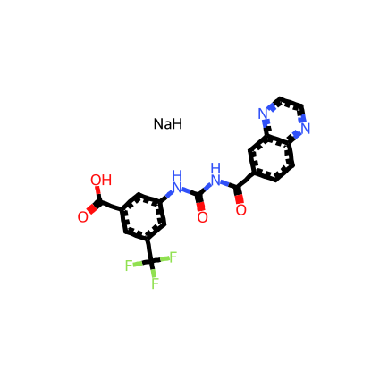 O=C(NC(=O)c1ccc2nccnc2c1)Nc1cc(C(=O)O)cc(C(F)(F)F)c1.[NaH]